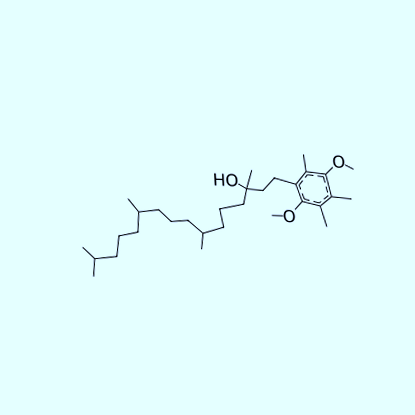 COc1c(C)c(C)c(OC)c(CCC(C)(O)CCCC(C)CCCC(C)CCCC(C)C)c1C